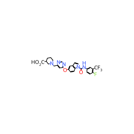 O=C(O)C1CCCN(Cc2cc(Oc3ccc4c(ccn4C(=O)Nc4ccc(F)c(C(F)(F)F)c4)c3)ncn2)C1